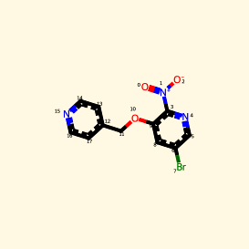 O=[N+]([O-])c1ncc(Br)cc1OCc1ccncc1